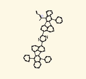 C=C/C=C(\C)c1c2c(c(-c3ccccc3)c3ccccc13)-c1cccc3c(-c4cnc(-c5ccc6c7c(cccc57)-c5c-6c(-c6ccccc6)c6ccccc6c5-c5ccccc5)cn4)ccc-2c13